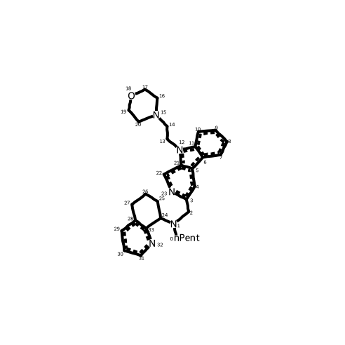 CCCCCN(Cc1cc2c3ccccc3n(CCN3CCOCC3)c2cn1)C1CCCc2cccnc21